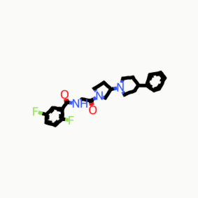 O=C(NCC(=O)N1CCC(N2CCC(c3ccccc3)CC2)C1)c1cc(F)ccc1F